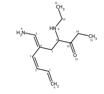 C=C/C=C\C(=C/N)CC(NCC)C(=O)CC